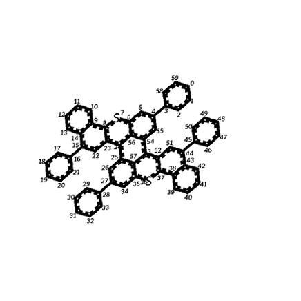 c1ccc(-c2cc3sc4c5ccccc5c(-c5ccccc5)cc4c4c5cc(-c6ccccc6)cc6sc7c8ccccc8c(-c8ccccc8)cc7c(c(c2)c34)c65)cc1